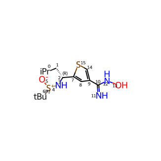 CC(C)C[C@@H](N[S@@+]([O-])C(C)(C)C)c1cc(C(=N)NO)cs1